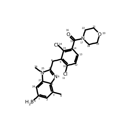 Bc1cc(C)c2nc(Cc3c(Cl)ccc(C(=O)N4CCOCC4)c3Cl)n(C)c2c1